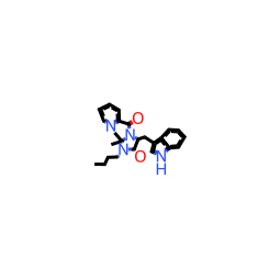 CCCCN1C(=O)C(Cc2c[nH]c3ccccc23)N(C(=O)c2ccccn2)C1(C)C